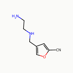 N#Cc1cc(CNCCN)co1